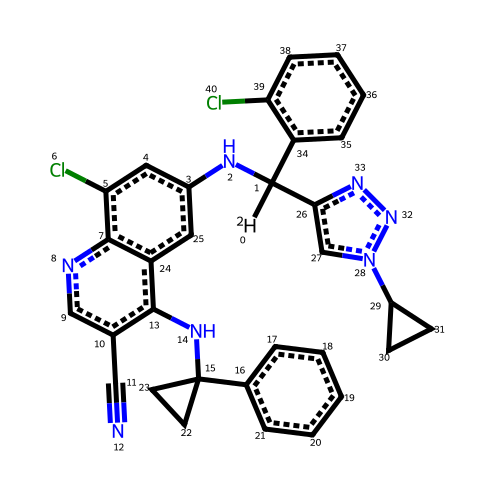 [2H]C(Nc1cc(Cl)c2ncc(C#N)c(NC3(c4ccccc4)CC3)c2c1)(c1cn(C2CC2)nn1)c1ccccc1Cl